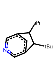 CC(C)C1c2cncc(c2)C1C(C)(C)C